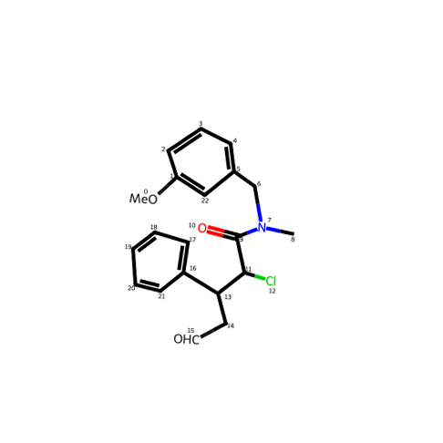 COc1cccc(CN(C)C(=O)C(Cl)C(CC=O)c2ccccc2)c1